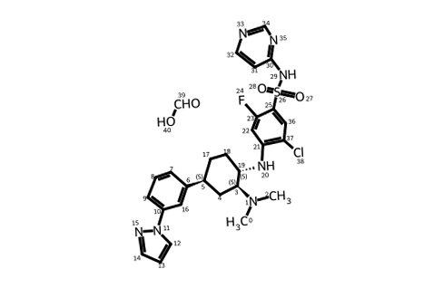 CN(C)[C@H]1C[C@@H](c2cccc(-n3cccn3)c2)CC[C@@H]1Nc1cc(F)c(S(=O)(=O)Nc2ccncn2)cc1Cl.O=CO